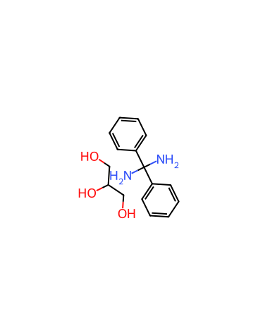 NC(N)(c1ccccc1)c1ccccc1.OCC(O)CO